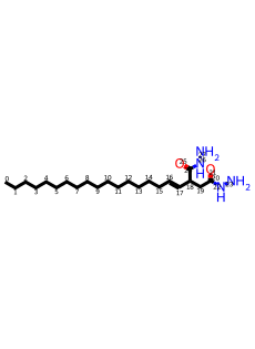 CCCCCCCCCCCCCCCC/C=C/C(CC(=O)NN)C(=O)NN